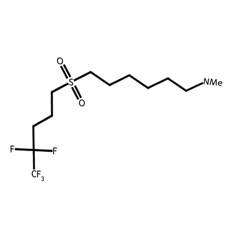 CNCCCCCCS(=O)(=O)CCCC(F)(F)C(F)(F)F